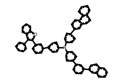 c1ccc(-c2c(-c3cccc(-c4ccc(N(c5ccc(-c6cccc(-c7ccc8ccccc8c7)c6)cc5)c5ccc(-c6ccc7c(ccc8ccccc87)c6)cc5)cc4)c3)oc3ccccc23)cc1